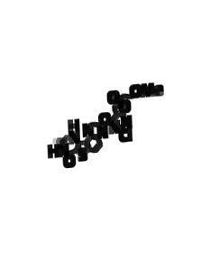 COCCS(=O)(=O)Cc1cnc(Cl)nc1Oc1cnc2c(ccc3sc4c(c32)NC[C@@H](C)NC4=O)n1